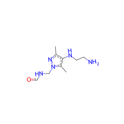 Cc1nn(CNC=O)c(C)c1NCCN